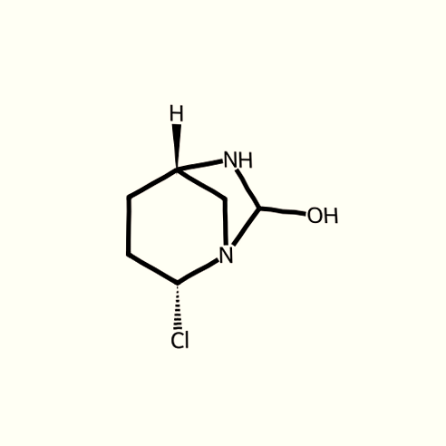 OC1N[C@H]2CC[C@@H](Cl)N1C2